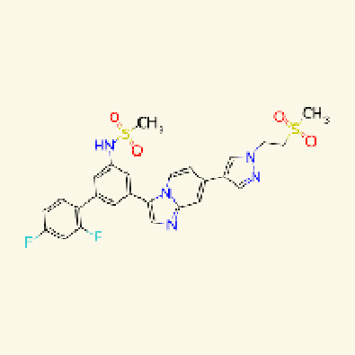 CS(=O)(=O)CCn1cc(-c2ccn3c(-c4cc(NS(C)(=O)=O)cc(-c5ccc(F)cc5F)c4)cnc3c2)cn1